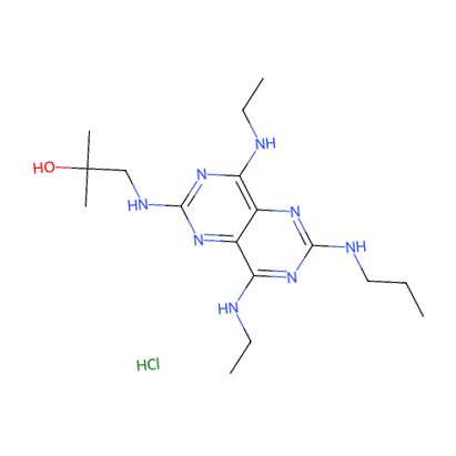 CCCNc1nc(NCC)c2nc(NCC(C)(C)O)nc(NCC)c2n1.Cl